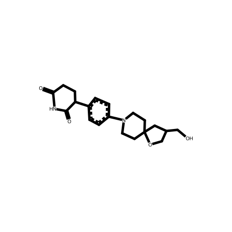 O=C1CCC(c2ccc(N3CCC4(CC3)CC(CO)CO4)cc2)C(=O)N1